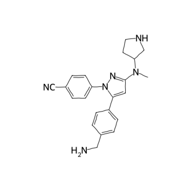 CN(c1cc(-c2ccc(CN)cc2)n(-c2ccc(C#N)cc2)n1)C1CCNC1